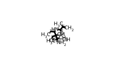 C=C(C)C(=O)NC(CC)C(O)(CO)C(C)(C)N.Cl